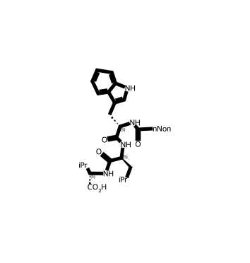 CCCCCCCCCC(=O)N[C@@H](Cc1c[nH]c2ccccc12)C(=O)N[C@@H](CC(C)C)C(=O)N[C@H](C(=O)O)C(C)C